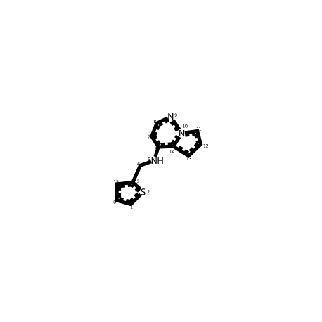 c1csc(CNc2ccnn3cccc23)c1